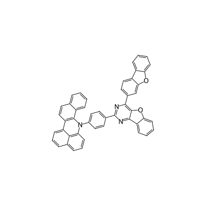 c1ccc2c3c(ccc2c1)-c1cccc2cccc(c12)N3c1ccc(-c2nc(-c3ccc4c(c3)oc3ccccc34)c3oc4ccccc4c3n2)cc1